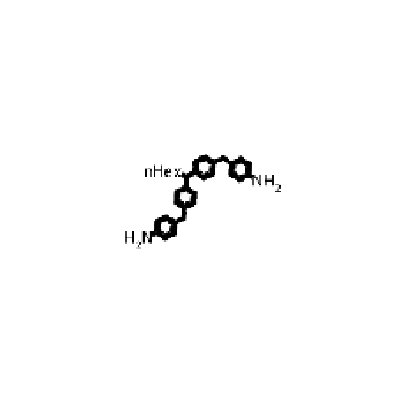 CCCCCCC(c1ccc(Cc2ccc(N)cc2)cc1)c1ccc(Cc2ccc(N)cc2)cc1